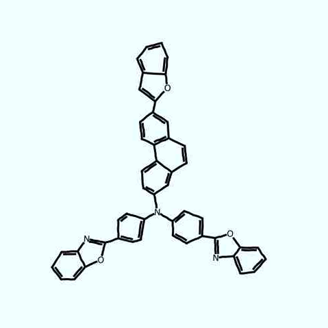 c1ccc2oc(-c3ccc4c(ccc5cc(N(c6ccc(-c7nc8ccccc8o7)cc6)c6ccc(-c7nc8ccccc8o7)cc6)ccc54)c3)cc2c1